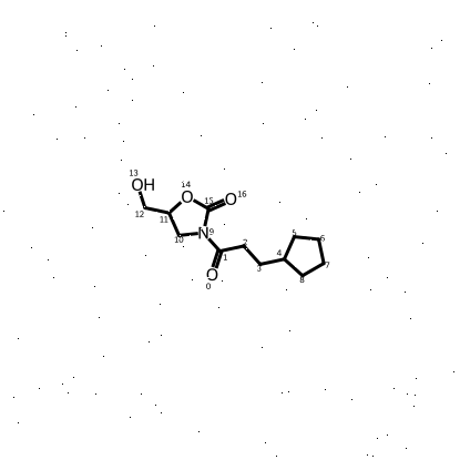 O=C(CCC1CCCC1)N1CC(CO)OC1=O